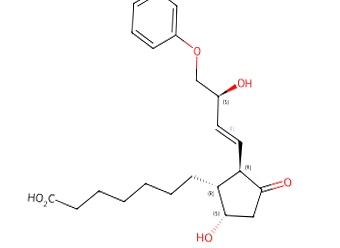 O=C(O)CCCCCC[C@H]1[C@@H](O)CC(=O)[C@@H]1/C=C/[C@H](O)COc1ccccc1